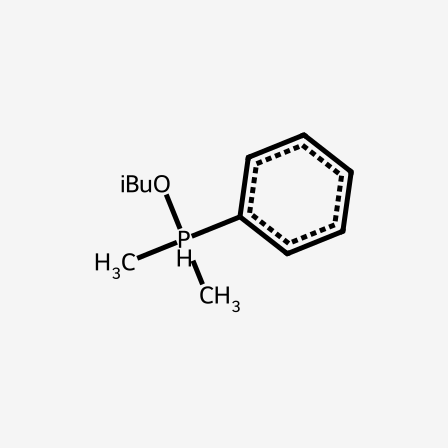 CC(C)CO[PH](C)(C)c1ccccc1